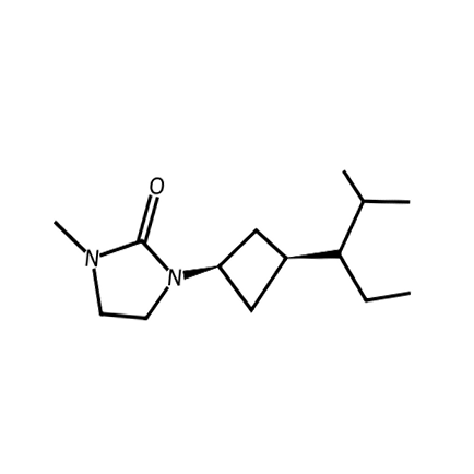 CCC(C(C)C)[C@H]1C[C@@H](N2CCN(C)C2=O)C1